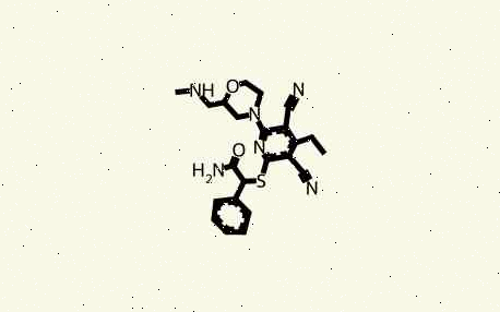 CCc1c(C#N)c(SC(C(N)=O)c2ccccc2)nc(N2CCOC(CNC)C2)c1C#N